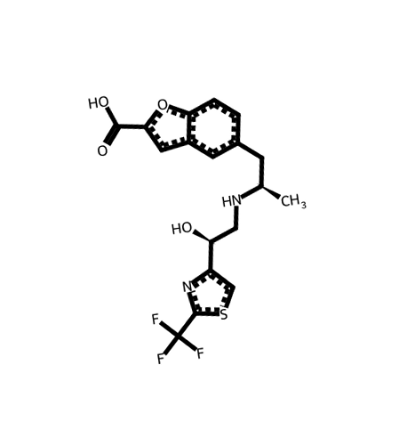 C[C@H](Cc1ccc2oc(C(=O)O)cc2c1)NC[C@H](O)c1csc(C(F)(F)F)n1